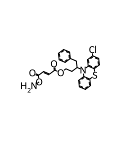 NOC(=O)/C=C/C(=O)OCCC(Cc1ccccc1)N1c2ccccc2Sc2ccc(Cl)cc21